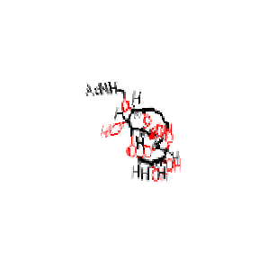 CC(=O)NCO[C@H]1C2CCCO[C@H]3[C@H](O)[C@@H](O)[C@@H](OC([C@@H](CO)O2)[C@@H]1O)O[C@@H]3CO